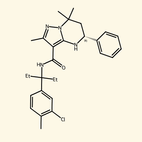 CCC(CC)(NC(=O)c1c(C)nn2c1N[C@@H](c1ccccc1)CC2(C)C)c1ccc(C)c(Cl)c1